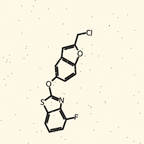 Fc1cccc2sc(Oc3ccc4oc(CCl)cc4c3)nc12